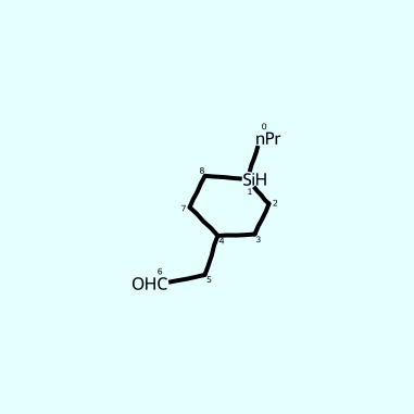 CCC[SiH]1CCC(CC=O)CC1